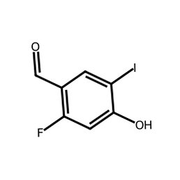 O=Cc1cc(I)c(O)cc1F